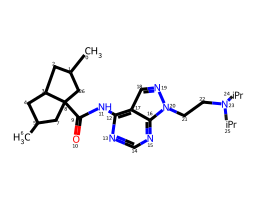 CC1CC2CC(C)CC2(C(=O)Nc2ncnc3c2cnn3CCN(C(C)C)C(C)C)C1